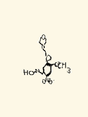 COc1cc([N+](=O)[O-])c(C=NO)cc1OCCCN1CCOCC1